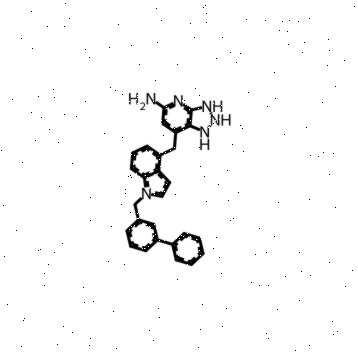 Nc1cc(Cc2cccc3c2ccn3Cc2cccc(-c3ccccc3)c2)c2c(n1)NNN2